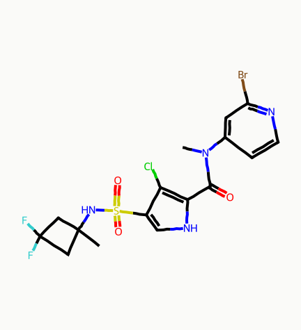 CN(C(=O)c1[nH]cc(S(=O)(=O)NC2(C)CC(F)(F)C2)c1Cl)c1ccnc(Br)c1